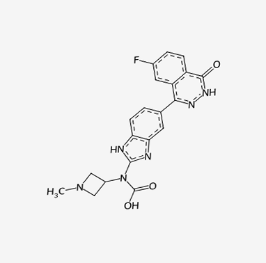 CN1CC(N(C(=O)O)c2nc3cc(-c4n[nH]c(=O)c5ccc(F)cc45)ccc3[nH]2)C1